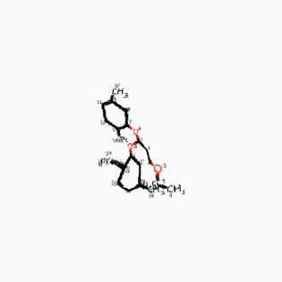 C[SiH2]OCCC(OC1CC(C)CCC1C(C)C)OC1CC(C)CCC1C(C)C